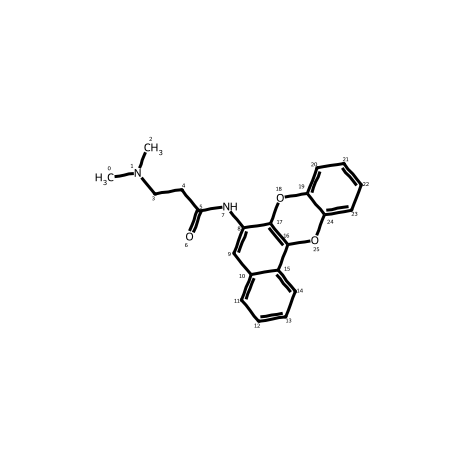 CN(C)CCC(=O)Nc1cc2ccccc2c2c1Oc1ccccc1O2